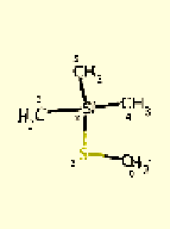 [CH2]S[Si](C)(C)C